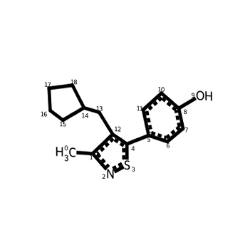 Cc1nsc(-c2ccc(O)cc2)c1C[C]1CCCC1